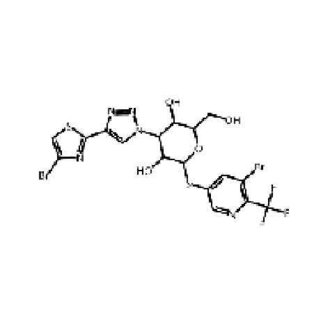 OCC1OC(Sc2cnc(C(F)(F)F)c(Br)c2)C(O)C(n2cc(-c3nc(Br)cs3)nn2)C1O